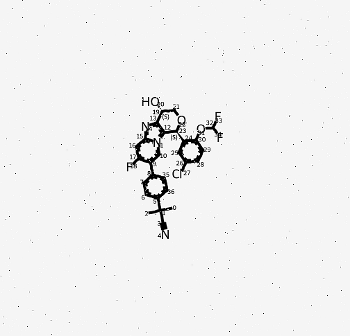 CC(C)(C#N)c1ccc(-c2cn3c4c(nc3cc2F)[C@H](O)CO[C@H]4c2cc(Cl)ccc2OC(F)F)cc1